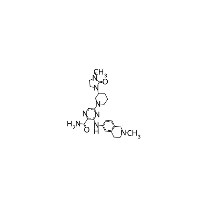 CN1CCc2cc(Nc3nc(N4CCC[C@@H](N5CCN(C)C5=O)C4)cnc3C(N)=O)ccc2C1